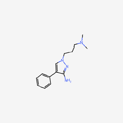 CN(C)CCCn1cc(-c2ccccc2)c(N)n1